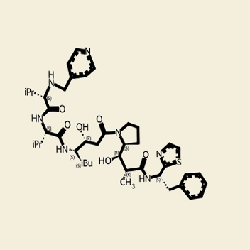 CC[C@H](C)[C@H](NC(=O)[C@@H](NC(=O)[C@@H](NCc1ccncc1)C(C)C)C(C)C)[C@H](O)CC(=O)N1CCC[C@H]1[C@H](O)[C@@H](C)C(=O)N[C@@H](Cc1ccccc1)c1nccs1